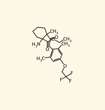 CCOC(=O)C1(N)CCCCC1(C)C(=O)Cc1c(C)cc(OCC(F)(F)F)cc1C